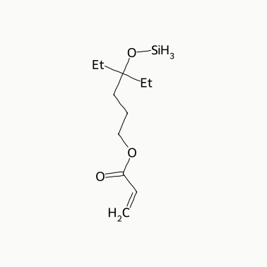 C=CC(=O)OCCCC(CC)(CC)O[SiH3]